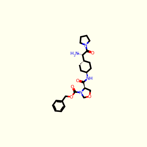 N[C@H](C(=O)N1CCCC1)[C@H]1CC[C@H](NC(=O)[C@H]2COCN2C(=O)OCc2ccccc2)CC1